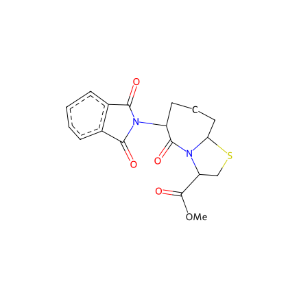 COC(=O)C1CSC2CCCC(N3C(=O)c4ccccc4C3=O)C(=O)N21